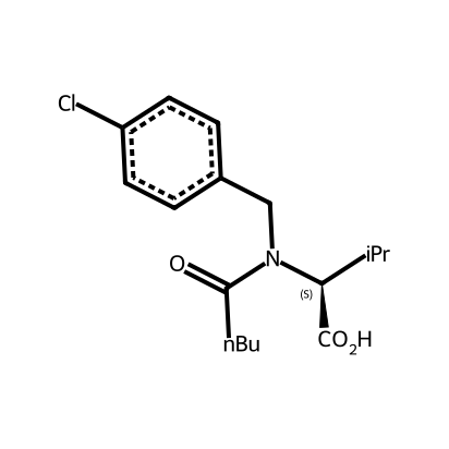 CCCCC(=O)N(Cc1ccc(Cl)cc1)[C@H](C(=O)O)C(C)C